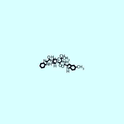 Cc1ccc2[nH]c(C(=O)N[C@H](C(=O)N3C[C@@H]4C[C@H]3CN4C(=O)c3nc4ccccc4[nH]3)C(C)(C)C)cc2c1